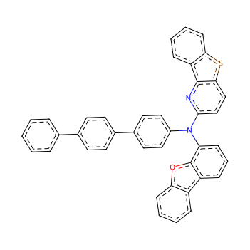 c1ccc(-c2ccc(-c3ccc(N(c4ccc5sc6ccccc6c5n4)c4cccc5c4oc4ccccc45)cc3)cc2)cc1